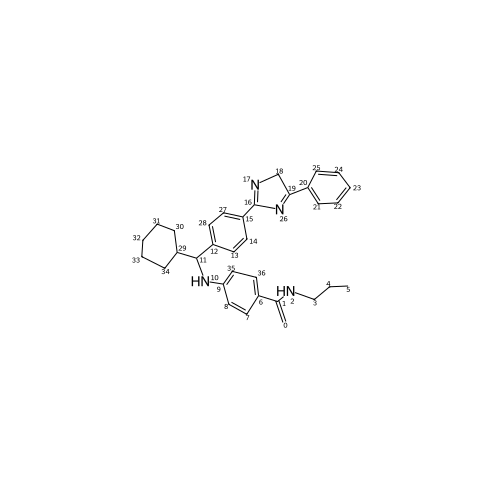 C=C(NCCC)c1ccc(NC(c2ccc(C3=NCC(c4ccccc4)=N3)cc2)C2CCCCC2)cc1